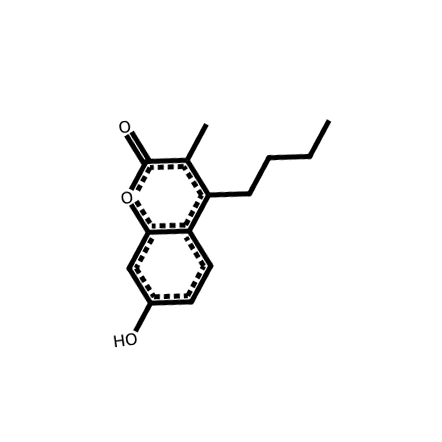 CCCCc1c(C)c(=O)oc2cc(O)ccc12